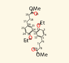 CCOc1ccc(CCCC(=O)OC)cc1-c1cc(CCCC(=O)OC)ccc1OCC